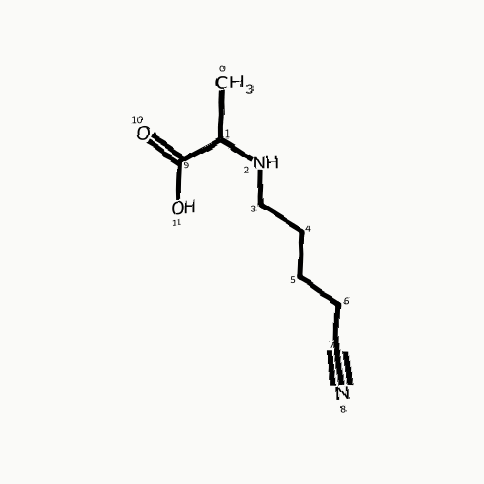 CC(NCCCCC#N)C(=O)O